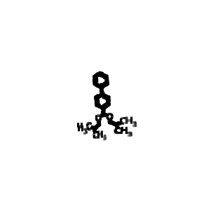 CC(C)COC(OCC(C)C)c1ccc(-c2ccccc2)cc1